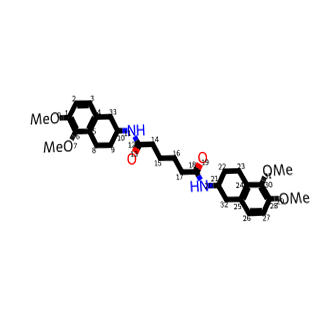 COc1ccc2c(c1OC)CCC(NC(=O)CCCCC(=O)NC1CCc3c(ccc(OC)c3OC)C1)C2